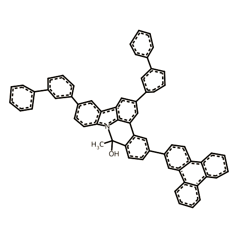 CC1(O)c2ccc(-c3ccc4c5ccccc5c5ccccc5c4c3)cc2-c2cc(-c3cccc(-c4ccccc4)c3)cc3c4cc(-c5cccc(-c6ccccc6)c5)ccc4n1c23